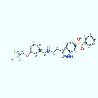 O=S(=O)(c1ccccc1)c1ccc2c(CCNCc3cccc(OCC(F)(F)F)c3)c[nH]c2c1